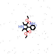 CCOC(=O)C1=C(C)NC(C)=C(C(=O)OCC)C1c1ccccc1N